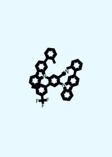 Cc1cc(-c2cc(-n3c4ccccc4c4ccc(-c5ccccc5C)cc43)c(C#N)cc2-n2c3ccccc3c3ccc(-c4ccccc4C)cc32)cc(C(F)(F)F)c1